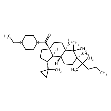 CCCC(C)(C)[C@@]1(C)CC[C@@H]2[C@H]3[C@H](C4(C)CC4)CC[C@]3(C(=O)N3CCN(CC)CC3)CC[C@@]2(C)C1(C)C